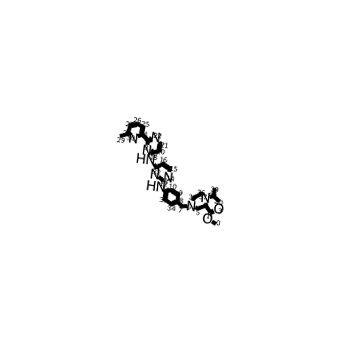 COC(=O)C1CN(Cc2ccc(Nc3nccc(Nc4ccnc(-c5cccc(C)n5)n4)n3)cc2)CCN1C(C)C